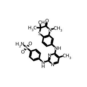 Cc1cnc(Nc2ccc(S(N)(=O)=O)cc2)nc1Nc1ccc2c(c1)N(C)C(=O)C(C)(C)S2